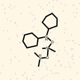 C[SiH](C)O[Si](C)(C)O[SiH](C1CCCCC1)C1CCCCC1